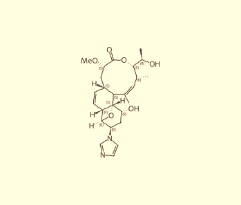 CO[C@H]1C[C@H]2C=C[C@H]3[C@H]4O[C@]2(C(C)=C[C@@H](C)[C@@H]([C@@H](C)O)OC1=O)[C@@H]3[C@H](O)C[C@H]4n1ccnc1